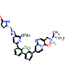 COc1nc(-c2cccc(-c3cccc(-c4ccn5c(=O)c(CN(C)[C@@H](C)C(=O)O)cnc5c4)c3Cl)c2Cl)ccc1CNC[C@@H]1CCC(=O)N1